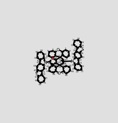 c1ccc2c(c1)Oc1ccccc1C21c2cc(-n3c4ccccc4c4cc5sc6ccccc6c5cc43)oc2C2(c3ccccc3Oc3ccccc32)c2cc(-n3c4ccccc4c4cc5sc6ccccc6c5cc43)oc21